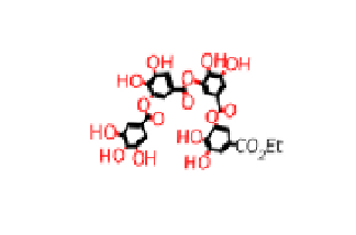 CCOC(=O)c1cc(O)c(O)c(OC(=O)c2cc(O)c(O)c(OC(=O)c3cc(O)c(O)c(OC(=O)c4cc(O)c(O)c(O)c4)c3)c2)c1